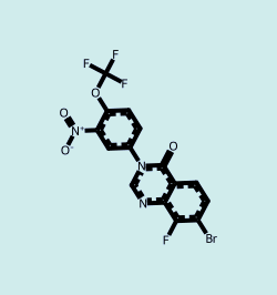 O=c1c2ccc(Br)c(F)c2ncn1-c1ccc(OC(F)(F)F)c([N+](=O)[O-])c1